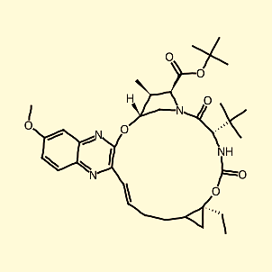 CC[C@]12CC1CC/C=C/c1nc3ccc(OC)cc3nc1O[C@H]1CN(C(=O)[C@H](C(C)(C)C)NC(=O)O2)[C@H](C(=O)OC(C)(C)C)[C@@H]1C